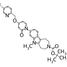 Cn1c2c(c3ccc(-n4ccc(OCc5ccc(F)cn5)cc4=O)cc31)CCN(C(=O)OC(C)(C)C)CC2